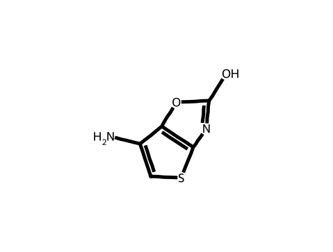 Nc1csc2nc(O)oc12